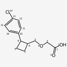 O=C(O)COCC1CCC1c1ccc(Cl)cc1